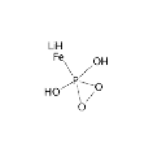 O[P]1(O)([Fe])OO1.[LiH]